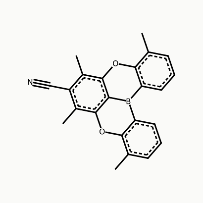 Cc1cccc2c1Oc1c(C)c(C#N)c(C)c3c1B2c1cccc(C)c1O3